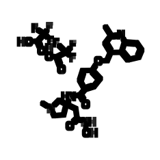 Cc1cc(COc2ccc(C(=O)NC3(CC(=O)NO)CCN(C)C3)cc2)c2ccccc2n1.O=C(O)C(F)(F)F.O=C(O)C(F)(F)F